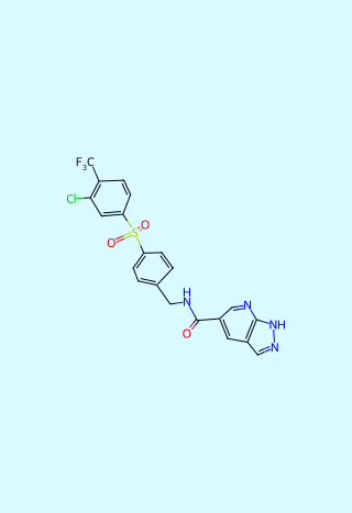 O=C(NCc1ccc(S(=O)(=O)c2ccc(C(F)(F)F)c(Cl)c2)cc1)c1cnc2[nH]ncc2c1